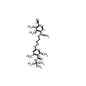 Cc1cc(COCCCN(N)c2ccc(C#N)c(C)c2N)cc(C)c1C(=O)OC(C)(C)C